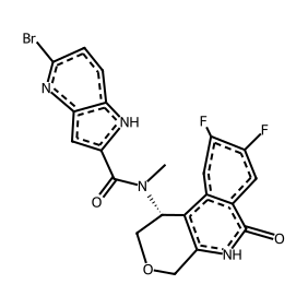 CN(C(=O)c1cc2nc(Br)ccc2[nH]1)[C@H]1COCc2[nH]c(=O)c3cc(F)c(F)cc3c21